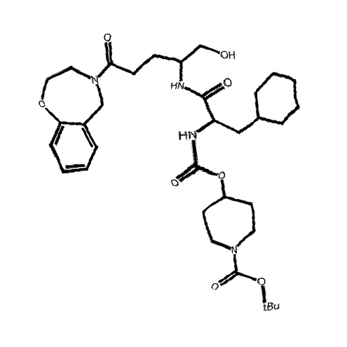 CC(C)(C)OC(=O)N1CCC(OC(=O)NC(CC2CCCCC2)C(=O)NC(CO)CCC(=O)N2CCOc3ccccc3C2)CC1